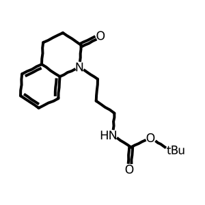 CC(C)(C)OC(=O)NCCCN1C(=O)CCc2ccccc21